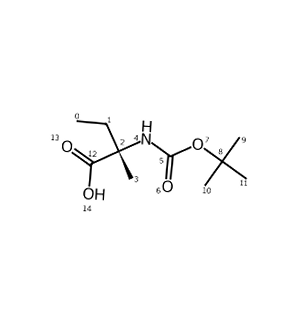 CC[C@](C)(NC(=O)OC(C)(C)C)C(=O)O